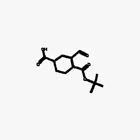 CC(C)(C)OC(=O)N1CCN(C(=O)O)CC1C=O